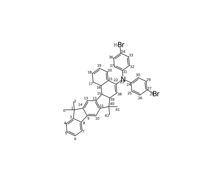 CC1(C)c2ccccc2-c2cc3c(cc21)C1C2CC=CC=C2C(N(c2ccc(Br)cc2)c2ccc(Br)cc2)=CC1C3(C)C